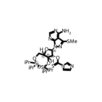 CSc1nn([C@@H]2O[C@H]3CO[Si](C(C)C)(C(C)C)O[Si](C(C)C)(C(C)C)O[C@H]3[C@H]2OC(=S)n2ccnc2)c2ncnc(N)c12